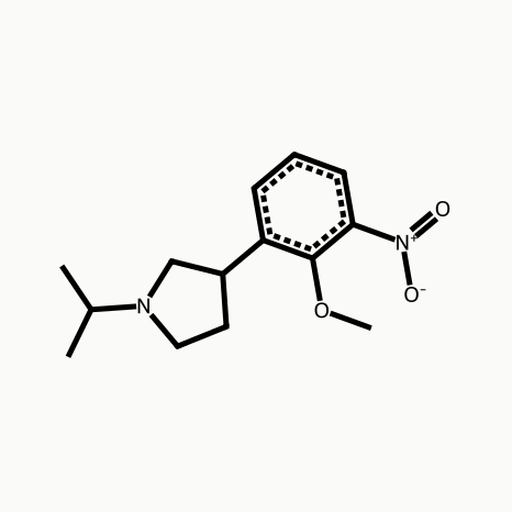 COc1c(C2CCN(C(C)C)C2)cccc1[N+](=O)[O-]